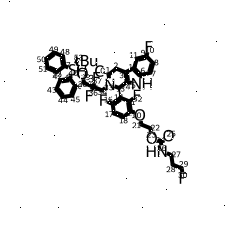 C[C@@H]1Cc2c([nH]c3ccc(F)cc23)[C@@H](c2c(F)ccc(OCCOC(=O)NCCCF)c2F)N1CC(F)(F)CO[Si](c1ccccc1)(c1ccccc1)C(C)(C)C